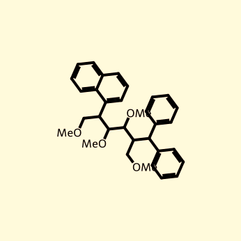 COCC(c1cccc2ccccc12)C(OC)C(OC)C(COC)C(c1ccccc1)c1ccccc1